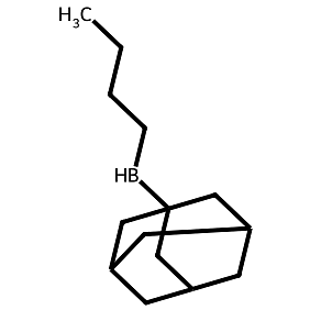 CCCCBC12CC3CC(CC(C3)C1)C2